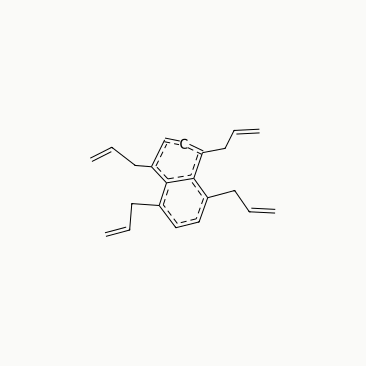 C=CCc1ccc(CC=C)c2c(CC=C)ccc(CC=C)c12